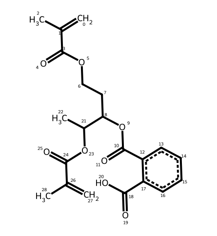 C=C(C)C(=O)OCCC(OC(=O)c1ccccc1C(=O)O)C(C)OC(=O)C(=C)C